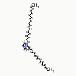 CCCCCCCCCCCCCCCCCCCn1cc[n+](C)c1CCCCCCCCCCCCCCC